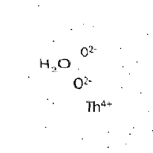 O.[O-2].[O-2].[Th+4]